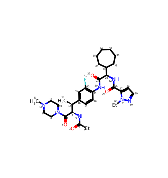 CCC(=O)N[C@@H](C(=O)N1CCN(C)CC1)[C@@H](C)c1ccc(NC(=O)C(NC(=O)c2ccnn2CC)C2CCCCCC2)c(F)c1